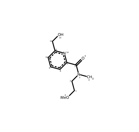 COCCN(C)C(=O)c1cccc(CO)n1